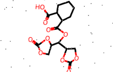 O=C1OCC(C(OC(=O)C2CCCCC2C(=O)O)C2COC(=O)O2)O1